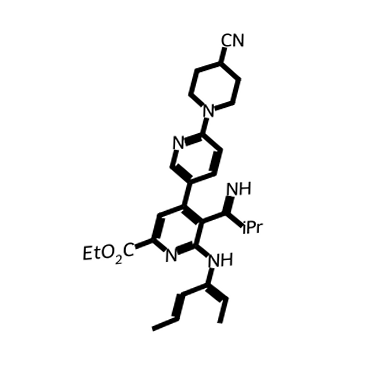 C/C=C/C(=C\C)Nc1nc(C(=O)OCC)cc(-c2ccc(N3CCC(C#N)CC3)nc2)c1C(=N)C(C)C